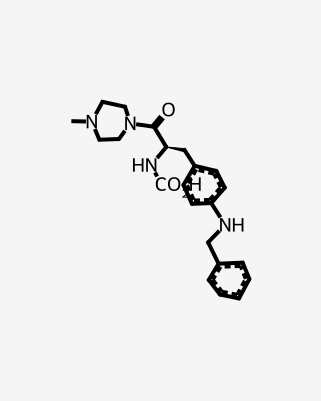 CN1CCN(C(=O)[C@@H](Cc2ccc(NCc3ccccc3)cc2)NC(=O)O)CC1